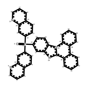 O=P(c1ccc2cccnc2c1)(c1ccc2cccnc2c1)c1ccc2c(c1)nc1c3ccccc3c3ccccc3n21